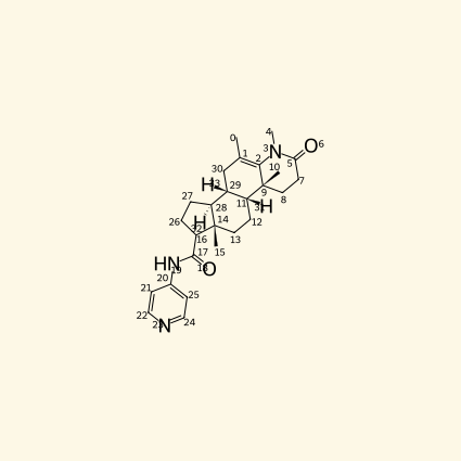 CC1=C2N(C)C(=O)CC[C@]2(C)[C@@H]2CC[C@]3(C)C(C(=O)Nc4ccncc4)CC[C@H]3[C@@H]2C1